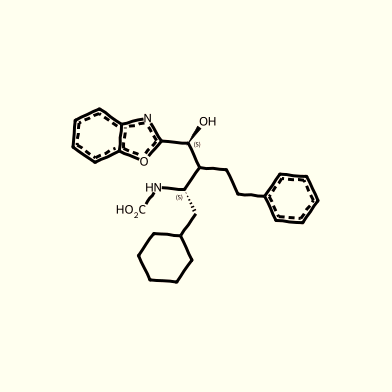 O=C(O)N[C@@H](CC1CCCCC1)C(CCc1ccccc1)[C@H](O)c1nc2ccccc2o1